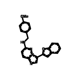 COc1ccc(CNc2ccc3ncc(-c4cc5ccccc5o4)n3n2)cc1